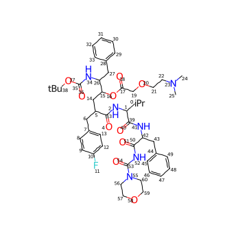 CC(C)C(NC(=O)C(Cc1ccc(F)cc1)CC(OC(=O)COCCN(C)C)C(Cc1ccccc1)NC(=O)OC(C)(C)C)C(=O)NC(Cc1ccccc1)C(=O)NC(=O)N1CCOCC1